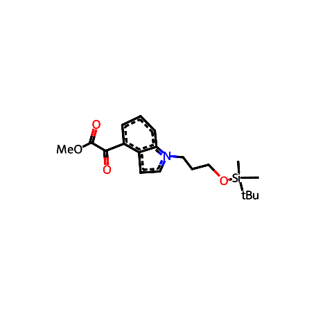 COC(=O)C(=O)c1cccc2c1ccn2CCCO[Si](C)(C)C(C)(C)C